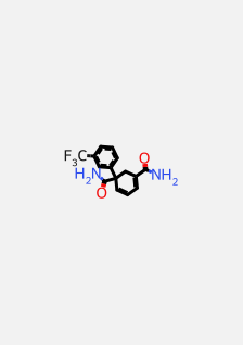 NC(=O)C1=CC=CC(C(N)=O)(c2cccc(C(F)(F)F)c2)C1